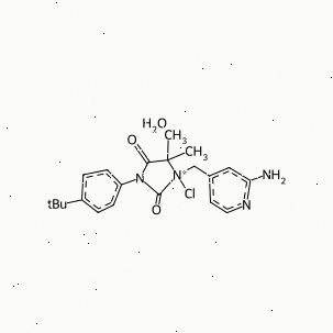 CC(C)(C)c1ccc(N2C(=O)C(C)(C)[N+](Cl)(Cc3ccnc(N)c3)C2=O)cc1.O